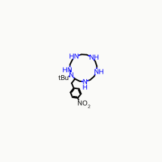 CC(C)(C)N1NCCNCCNCCNCCNCC1Cc1ccc([N+](=O)[O-])cc1